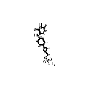 CS(=O)(=O)OCC1CC(c2ccc(NC3CCC(=O)NC3=O)cc2)C1